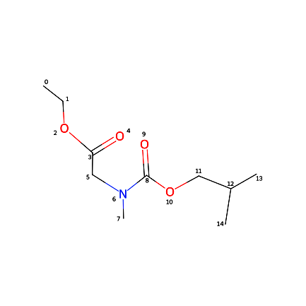 CCOC(=O)CN(C)C(=O)OCC(C)C